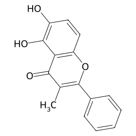 Cc1c(-c2ccccc2)oc2ccc(O)c(O)c2c1=O